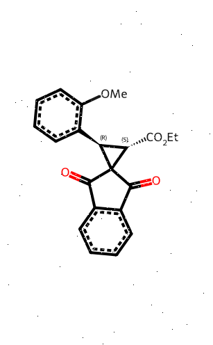 CCOC(=O)[C@H]1[C@H](c2ccccc2OC)C12C(=O)c1ccccc1C2=O